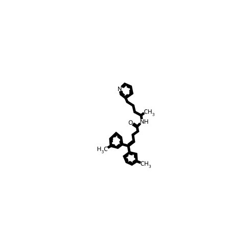 Cc1cccc(C(=CCCC(=O)NC(C)CCCc2cccnc2)c2cccc(C)c2)c1